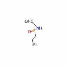 CC(C)CCP1(=O)NC1[C]=O